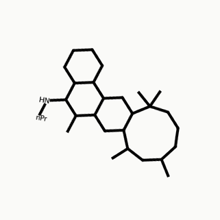 CCCNC1C(C)C2CC3C(C)CC(C)CCCC(C)(C)C3CC2C2CCCCC21